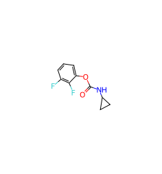 O=C(NC1CC1)Oc1cccc(F)c1F